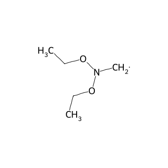 [CH2]N(OCC)OCC